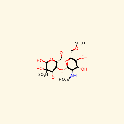 O=S(=O)(O)N[C@@H]1[C@H](O[C@@H]2[C@@H](CO)O[C@H](O)[C@@](O)(S(=O)(=O)O)[C@H]2O)O[C@H](COS(=O)(=O)O)[C@@H](O)[C@@H]1O